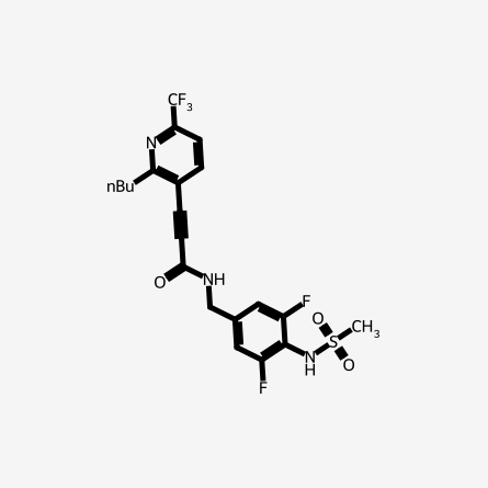 CCCCc1nc(C(F)(F)F)ccc1C#CC(=O)NCc1cc(F)c(NS(C)(=O)=O)c(F)c1